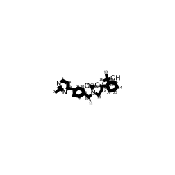 Cc1nccc(-c2ccc([C@H](C)N3CC[C@](CC(C)(C)O)(c4ccccc4)OC3=O)cc2)n1